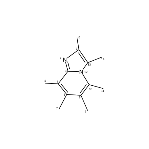 Cc1nc2c(C)c(C)c(C)c(C)n2c1C